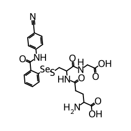 N#Cc1ccc(NC(=O)c2ccccc2[Se]SCC(NC(=O)CCC(N)C(=O)O)C(=O)NCC(=O)O)cc1